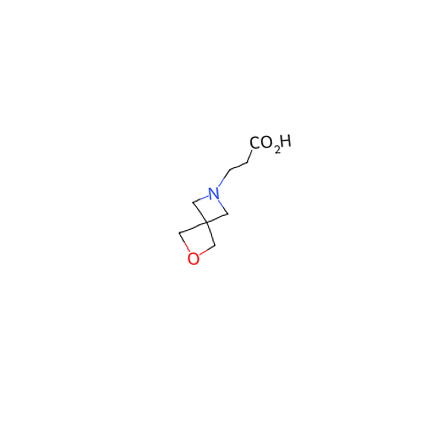 O=C(O)CCN1CC2(COC2)C1